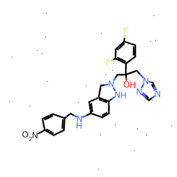 O=[N+]([O-])c1ccc(CNc2ccc3c(c2)CN(CC(O)(Cn2cncn2)c2ccc(F)cc2F)N3)cc1